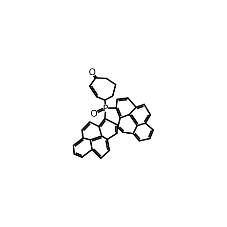 O=C1C=CC(P(=O)(c2ccc3ccc4cccc5ccc2c3c45)c2ccc3ccc4cccc5ccc2c3c45)CCC1